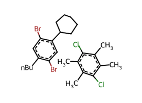 CCCCc1cc(Br)c(C2CCCCC2)cc1Br.Cc1c(C)c(Cl)c(C)c(C)c1Cl